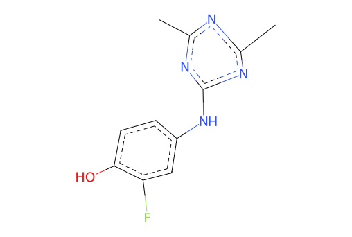 Cc1nc(C)nc(Nc2ccc(O)c(F)c2)n1